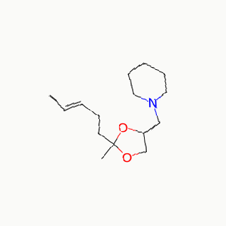 C/C=C/CCC1(C)OCC(CN2CCCCC2)O1